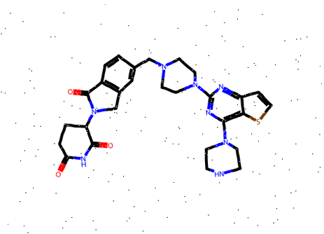 O=C1CCC(N2Cc3cc(CN4CCN(c5nc(N6CCNCC6)c6sccc6n5)CC4)ccc3C2=O)C(=O)N1